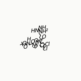 CC(C)(C)OC(=O)NCC(=O)N1CCC[C@H]1C(=O)N(c1ccc(Cl)c(Cl)c1)[C@H](C=O)CCCNC(=N)N